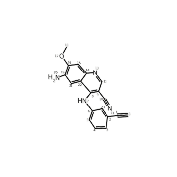 C#Cc1cccc(Nc2c(C#N)cnc3cc(OC)c(N)cc23)c1